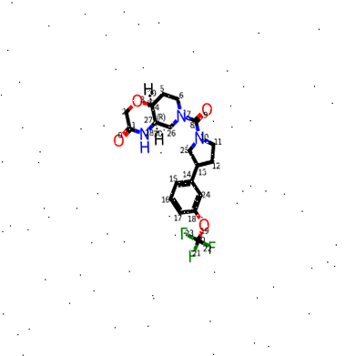 O=C1CO[C@H]2CCN(C(=O)N3CCC(c4cccc(OC(F)(F)F)c4)C3)C[C@H]2N1